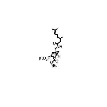 CCOC(=O)[C@@H]1C[C@@]2(CNC(=O)CC(C)CCC=C(C)C)C[C@H]2N1C(=O)OC(C)(C)C